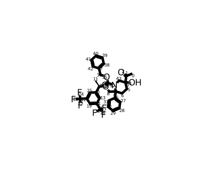 CC(=O)C1(O)CCC(CO[C@H](C)c2cc(C(F)(F)F)cc(C(F)(F)F)c2)(c2ccccc2)N(C(=O)OCc2ccccc2)C1